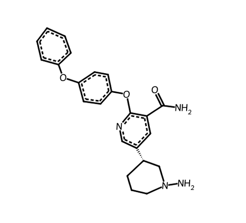 NC(=O)c1cc([C@H]2CCCN(N)C2)cnc1Oc1ccc(Oc2ccccc2)cc1